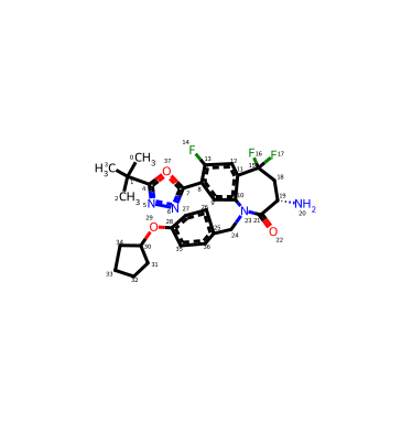 CC(C)(C)c1nnc(-c2cc3c(cc2F)C(F)(F)C[C@H](N)C(=O)N3Cc2ccc(OC3CCCC3)cc2)o1